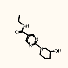 CCNC(=O)c1cnc(N2CCCC(O)C2)nc1